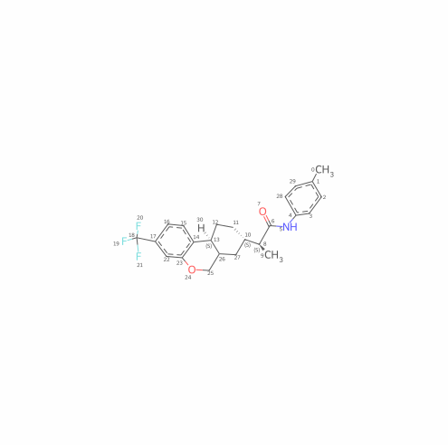 Cc1ccc(NC(=O)[C@@H](C)[C@H]2CC[C@@H]3c4ccc(C(F)(F)F)cc4OCC3C2)cc1